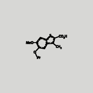 COc1cc2sc(C(=O)O)c(C)c2cc1OC(C)C